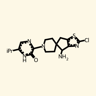 CC(C)c1cnc(N2CCC3(CC2)Cc2sc(Cl)nc2C3N)c(=O)[nH]1